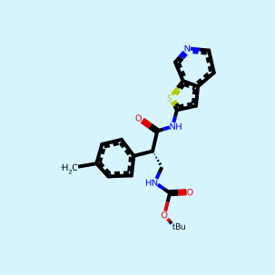 [CH2]c1ccc([C@@H](CNC(=O)OC(C)(C)C)C(=O)Nc2cc3ccncc3s2)cc1